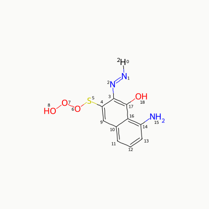 [2H]N=Nc1c(SOOO)cc2cccc(N)c2c1O